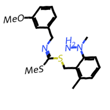 COc1cccc(CN=C(SC)SCc2c(C)cccc2N(C)N)c1